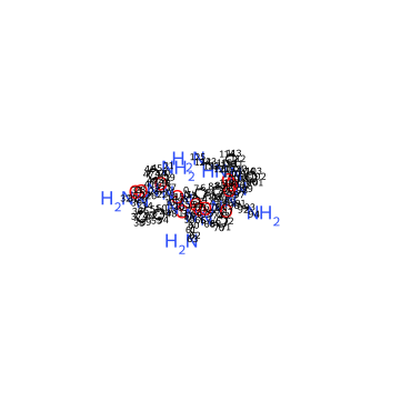 C[C@@H](c1ccccc1)N(CC(=O)N(CC(=O)N(CCCCN)CC(=O)N(CC(=O)N(CC(N)=O)Cc1ccccc1)Cc1ccccc1)Cc1ccccc1)C(=O)CN(CCCCN)C(=O)CN(Cc1ccccc1)C(=O)CN(Cc1ccccc1)C(=O)CN(CCCCN)C(=O)CN(Cc1ccccc1)C(=O)CN(Cc1ccccc1)C(=O)CNCCCCN